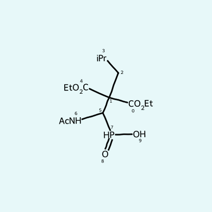 CCOC(=O)C(CC(C)C)(C(=O)OCC)C(NC(C)=O)[PH](=O)O